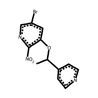 CC(Oc1cc(Br)cnc1[N+](=O)[O-])c1ccncc1